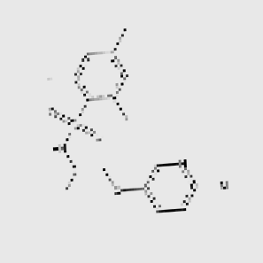 Cc1cc(C)c(S(=O)(=O)NC(C)COc2ccc(Cl)nc2)c(C)c1